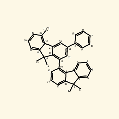 CC1(C)c2ccccc2-c2c(-c3cc(-c4ccccc4)cc4c3C(C)(C)c3cccc(Cl)c3-4)cccc21